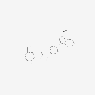 CC(=O)c1cc(-c2ccc(NC(=O)Nc3cc(C(F)(F)CF)ccc3F)cc2)c2c(N)ncnn12